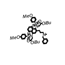 COc1ccc(S(=O)(=O)N(CC(=O)OCC(C)C)c2cc(CCCN(C)Cc3ccccc3)c(N(CC(=O)OCC(C)C)S(=O)(=O)c3ccc(OC)cc3)c3ccccc23)cc1